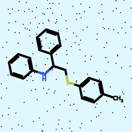 Cc1ccc(SCC(Nc2ccccc2)c2ccccc2)cc1